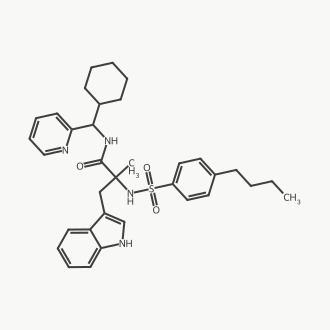 CCCCc1ccc(S(=O)(=O)NC(C)(Cc2c[nH]c3ccccc23)C(=O)NC(c2ccccn2)C2CCCCC2)cc1